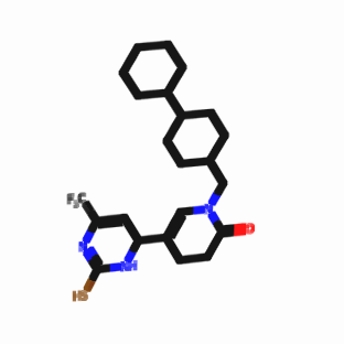 O=C1CCC(C2C=C(C(F)(F)F)N=C(S)N2)=CN1CC1CCC(C2CCCCC2)CC1